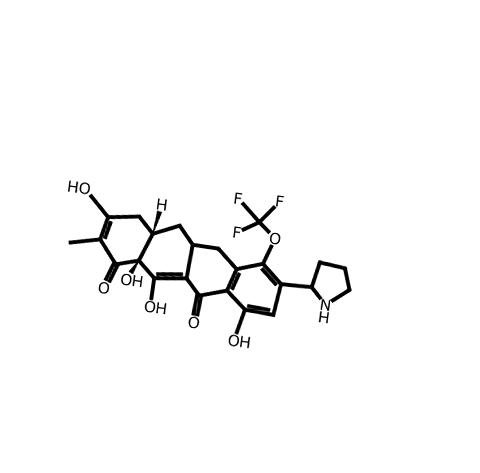 CC1=C(O)C[C@@H]2CC3Cc4c(OC(F)(F)F)c(C5CCCN5)cc(O)c4C(=O)C3=C(O)[C@]2(O)C1=O